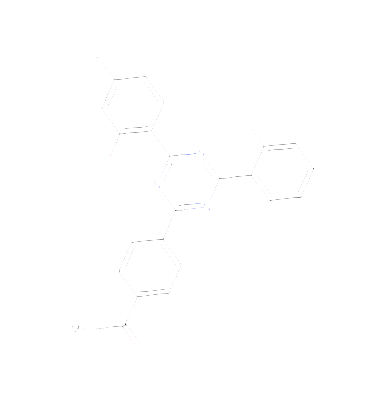 COC(=O)c1ccc(-c2nc(-c3ccccc3O)nc(-c3ccc(Cl)cc3O)n2)cc1